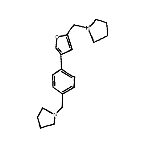 c1cc(-c2coc(CN3CCCC3)c2)ccc1CN1CCCC1